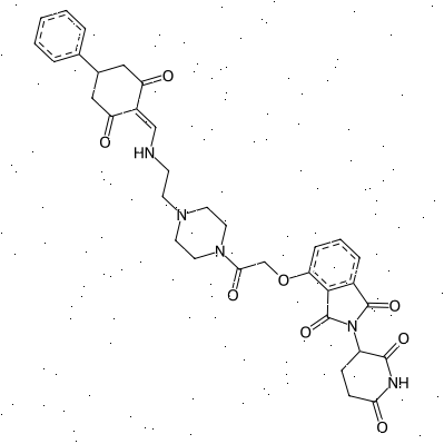 O=C1CCC(N2C(=O)c3cccc(OCC(=O)N4CCN(CCNC=C5C(=O)CC(c6ccccc6)CC5=O)CC4)c3C2=O)C(=O)N1